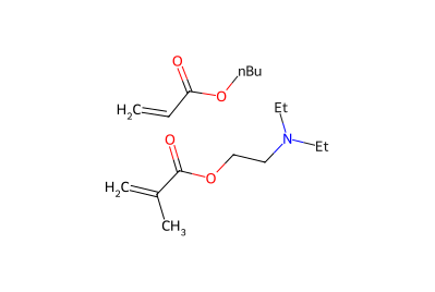 C=C(C)C(=O)OCCN(CC)CC.C=CC(=O)OCCCC